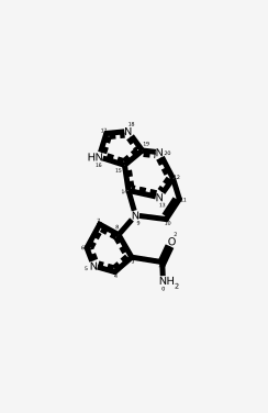 NC(=O)c1cnccc1N1C=Cc2nc1c1[nH]cnc1n2